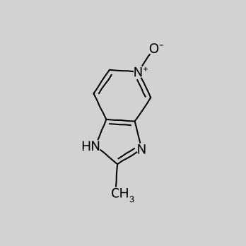 Cc1nc2c[n+]([O-])ccc2[nH]1